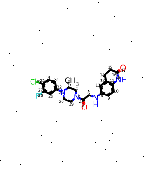 C[C@@H]1CN(C(=O)CNc2ccc3c(c2)CCC(=O)N3)CCN1c1ccc(Cl)c(F)c1